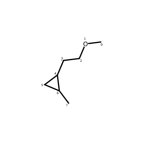 COC[CH]C1CC1C